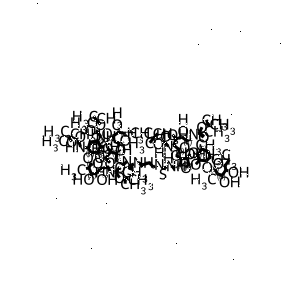 CCC1O[C@@H](OC2C(C)C[C@H](C)[C@H](O)C2O[C@@H]2O[C@H](CNC(=S)NCCCNC(=S)NC[C@H]3O[C@@H](O[C@@H]4C(O)[C@H](NC(=O)OC(C)(C)C)CC(NC(=O)OC(C)(C)C)[C@H]4O[C@@H]4OC(CNC(=O)OC(C)(C)C)C(O)[C@H](O)C4C)C(O)[C@H]3O[C@H]3O[C@@H](CC)C(O)C(O)C3C)C(O[C@@H]3O[C@H](CNC(=O)OC(C)(C)C)C(O)C(O)C3NC(=O)OC(C)(C)C)C2O)C(C)[C@@H](O)C1O